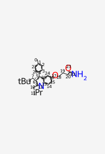 Cc1ccc(-c2c([CH]C(C)(C)C)c(CC(C)C)nc3ccc(OCCCC(N)=O)cc23)cc1